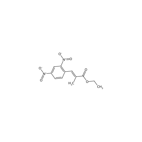 CCOC(=O)/C(C)=C/c1ccc([N+](=O)[O-])cc1[N+](=O)[O-]